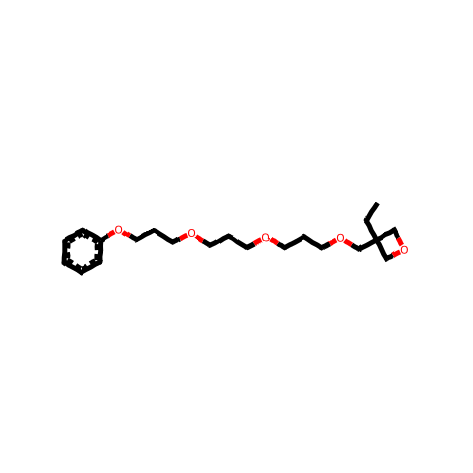 CCC1(COCCCOCCCOCCCOc2ccccc2)COC1